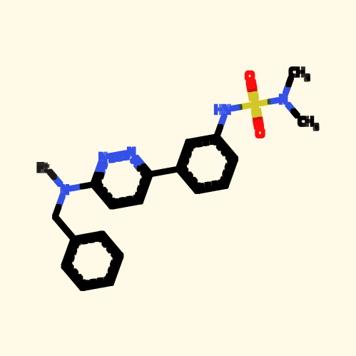 CCN(Cc1ccccc1)c1ccc(-c2cccc(NS(=O)(=O)N(C)C)c2)nn1